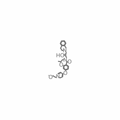 COCCN1C=CC(Oc2ccc3c(c2)OC(C)CN(C[C@H](O)CN2CCc4ccccc4C2)C3=O)=CC1